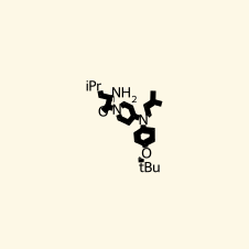 CC(C)=CCN(c1ccc(OCC(C)(C)C)cc1)C1CCN(C(=O)[C@@H](N)CC(C)C)CC1